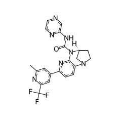 Cc1cc(-c2ccc3c(n2)N(C(=O)Nc2cnccn2)[C@H]2CCN3C2)cc(C(F)(F)F)n1